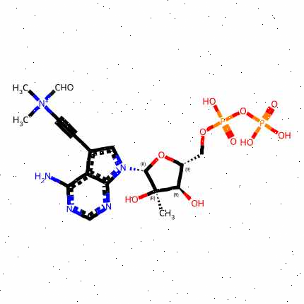 C[C@@]1(O)[C@H](O)[C@@H](COP(=O)(O)OP(=O)(O)O)O[C@H]1n1cc(C#C[N+](C)(C)C=O)c2c(N)ncnc21